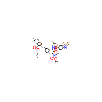 CCCCOC(=O)c1c(CCc2ccc(C[C@H]3[C@@H](CN(CC(C)C)S(=O)(=O)c4ccc5nc(SC)sc5c4)OC(C)(C)N3C(=O)OC(C)(C)C)cc2)sc2c1CC(C)(C)CC2